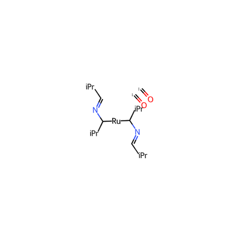 CC(C)C=N[CH]([Ru][CH](N=CC(C)C)C(C)C)C(C)C.[C]=O.[C]=O